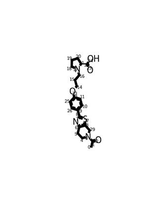 CC(=O)N1CCc2nc(-c3ccc(OCCCN4CCC[C@H]4C(=O)O)cc3)sc2C1